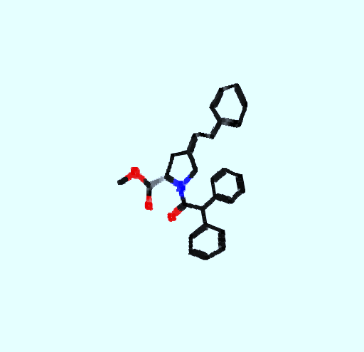 COC(=O)[C@@H]1C/C(=C/Cc2ccccc2)CN1C(=O)C(c1ccccc1)c1ccccc1